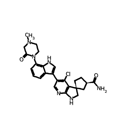 CN1CCN(c2cccc3c(-c4cnc5c(c4Cl)[C@@]4(CC[C@@H](C(N)=O)C4)CN5)c[nH]c23)C(=O)C1